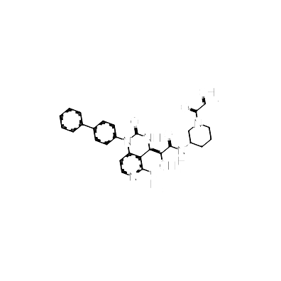 C=CC(=O)N1CCC[C@@H](NC(=O)/C(C)=C2\NC(=O)N(c3ccc(-c4ccccc4)cc3)c3ccnc(C)c32)C1